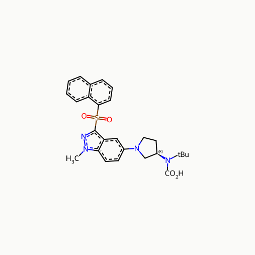 Cn1nc(S(=O)(=O)c2cccc3ccccc23)c2cc(N3CC[C@@H](N(C(=O)O)C(C)(C)C)C3)ccc21